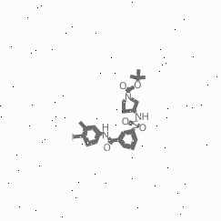 Cc1cc(NC(=O)c2cccc(S(=O)(=O)NC3CCN(C(=O)OC(C)(C)C)C3)c2)ccc1I